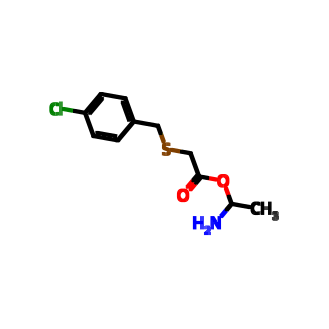 CC(N)OC(=O)CSCc1ccc(Cl)cc1